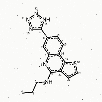 CCCNc1nc2cc(-c3nnn[nH]3)ccc2c2sccc12